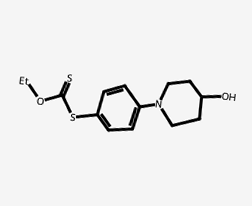 CCOC(=S)Sc1ccc(N2CCC(O)CC2)cc1